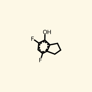 Oc1c(F)cc(F)c2c1CCC2